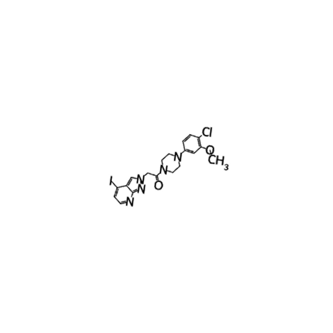 COc1cc(N2CCN(C(=O)Cn3cc4c(I)ccnc4n3)CC2)ccc1Cl